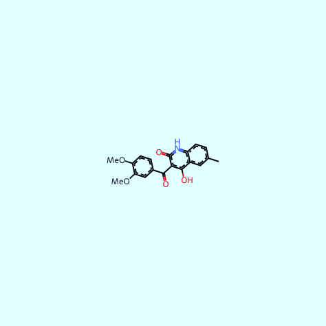 COc1ccc(C(=O)c2c(O)c3cc(C)ccc3[nH]c2=O)cc1OC